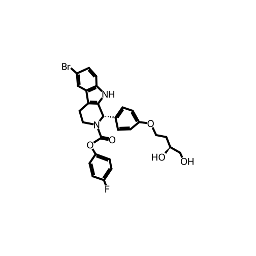 O=C(Oc1ccc(F)cc1)N1CCc2c([nH]c3ccc(Br)cc23)[C@@H]1c1ccc(OCC[C@H](O)CO)cc1